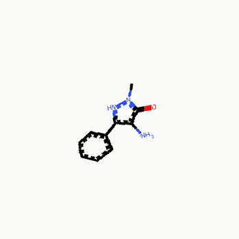 Cn1[nH]c(-c2ccccc2)c(N)c1=O